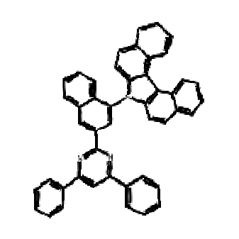 c1ccc(-c2cc(-c3ccccc3)nc(-c3cc(-n4c5ccc6ccccc6c5c5c6ccccc6ccc54)c4ccccc4c3)n2)cc1